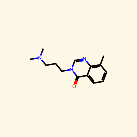 Cc1cccc2c(=O)n(CCCN(C)C)cnc12